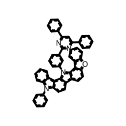 c1ccc(-c2cc(-c3ccccc3)nc(-c3cccc(-n4c5c(ccc6oc7ccccc7c65)c5ccc6c(c7ccccc7n6-c6ccccc6)c54)c3)n2)cc1